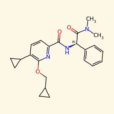 CN(C)C(=O)[C@H](NC(=O)c1ccc(C2CC2)c(OCC2CC2)n1)c1ccccc1